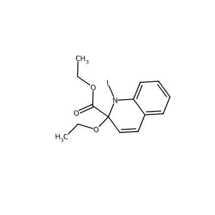 CCOC(=O)C1(OCC)C=Cc2ccccc2N1I